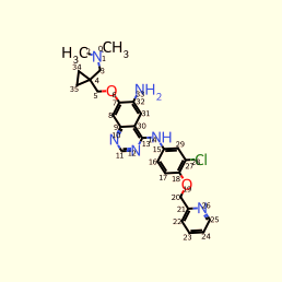 CN(C)CC1(COc2cc3ncnc(Nc4ccc(OCc5ccccn5)c(Cl)c4)c3cc2N)CC1